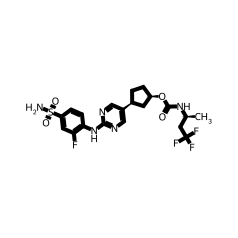 C[C@@H](CC(F)(F)F)NC(=O)O[C@@H]1CC[C@H](c2cnc(Nc3ccc(S(N)(=O)=O)cc3F)nc2)C1